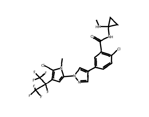 CNC1(NC(=O)c2cc(-c3cnn(-c4cc(C(F)(C(F)(F)F)C(F)(F)F)c(Cl)n4C)c3)ccc2Cl)CC1